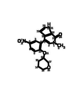 Cn1cc(-c2cc([N+](=O)[O-])ccc2OC2CCCOC2)c2cc[nH]c2c1=O